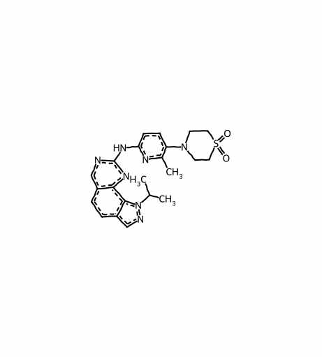 Cc1nc(Nc2ncc3ccc4cnn(C(C)C)c4c3n2)ccc1N1CCS(=O)(=O)CC1